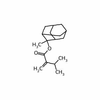 C=C(C(=O)OC1(C)C2CC3CC(C2)CC1C3)C(C)C